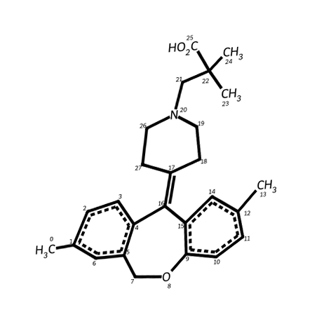 Cc1ccc2c(c1)COc1ccc(C)cc1C2=C1CCN(CC(C)(C)C(=O)O)CC1